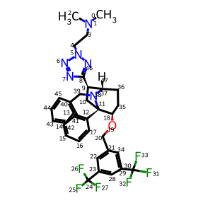 CN(C)CCn1nnc([C@@H]2C[C@@]3(c4ccccc4)[C@H](OCc4cc(C(F)(F)F)cc(C(F)(F)F)c4)CC[C@@H]2N3Cc2ccccc2)n1